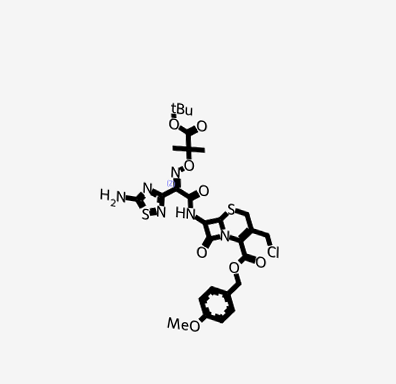 COc1ccc(COC(=O)C2=C(CCl)CSC3C(NC(=O)/C(=N\OC(C)(C)C(=O)OC(C)(C)C)c4nsc(N)n4)C(=O)N23)cc1